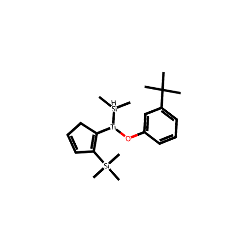 C[SiH](C)[Ti]([O]c1cccc(C(C)(C)C)c1)[C]1=C([Si](C)(C)C)C=CC1